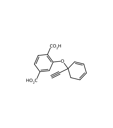 C#CC1(Oc2cc(C(=O)O)ccc2C(=O)O)C=CC=CC1